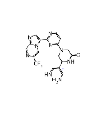 N=C/C(=C\N)C1CN(c2ccnc(-c3cnc4cnc(C(F)(F)F)cn34)n2)CC(=O)N1